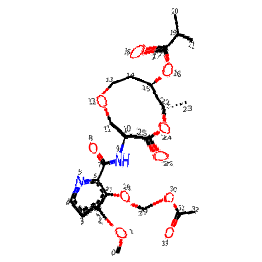 COc1ccnc(C(=O)N[C@H]2COCC[C@@H](OC(=O)C(C)C)[C@H](C)OC2=O)c1OCOC(C)=O